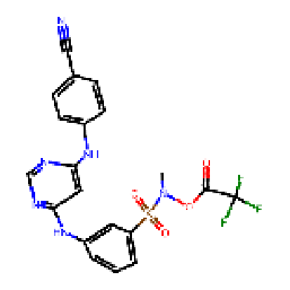 CN(OC(=O)C(F)(F)F)S(=O)(=O)c1cccc(Nc2cc(Nc3ccc(C#N)cc3)ncn2)c1